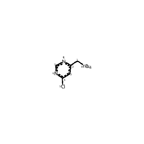 CCCCCc1cc(Cl)ncn1